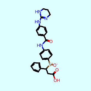 O=C(O)CC(c1ccccc1)[S+]([O-])c1ccc(NC(=O)c2ccc(NC3=NCCCN3)cc2)cc1